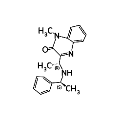 C[C@H](N[C@H](C)c1nc2ccccc2n(C)c1=O)c1ccccc1